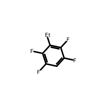 [CH2]Cc1c(F)c(F)cc(F)c1F